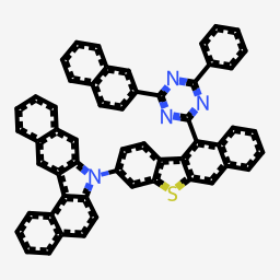 c1ccc(-c2nc(-c3ccc4ccccc4c3)nc(-c3c4ccccc4cc4sc5cc(-n6c7cc8ccccc8cc7c7c8ccccc8ccc76)ccc5c34)n2)cc1